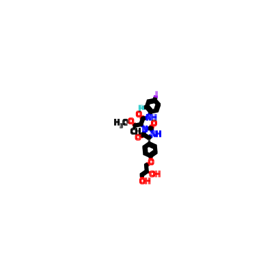 CO[C@H](C)[C@@H](C(=O)Nc1ccc(I)cc1F)N1C(=O)N[C@H](c2ccc(OC[C@H](O)CO)cc2)C1=O